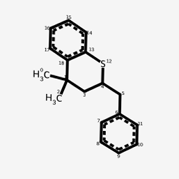 CC1(C)CC(Cc2ccccc2)Sc2cc[c]cc21